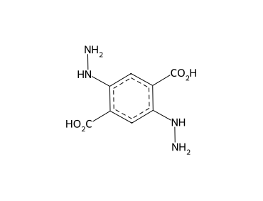 NNc1cc(C(=O)O)c(NN)cc1C(=O)O